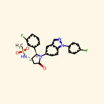 CS(=O)(=O)N[C@H]1CC(=O)N(c2ccc3c(cnn3-c3ccc(F)cc3)c2)[C@@H]1c1cccc(F)c1